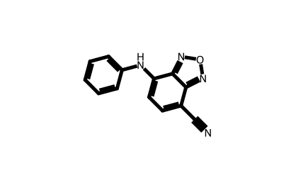 N#Cc1ccc(Nc2ccccc2)c2nonc12